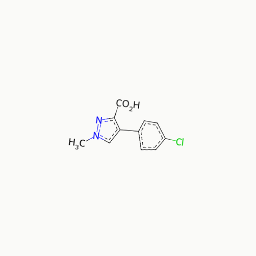 Cn1cc(-c2ccc(Cl)cc2)c(C(=O)O)n1